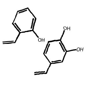 C=Cc1ccc(O)c(O)c1.C=Cc1ccccc1O